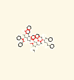 COC(O)C(OC(C)=O)C(CC1OC(CC(=O)c2ccccc2)C(C(=O)c2ccccc2)C(C(=O)c2ccccc2)C1OC(=O)c1ccccc1)C(OC(C)=O)C(C)COC(O)C(OC(=O)c1ccccc1)C(C(=O)c1ccccc1)C(C(=O)c1ccccc1)C(C)CC(=O)c1ccccc1